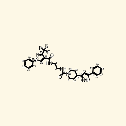 O=C(NCCNC(=O)N1CCC(c2cc(-c3ccccc3)on2)CC1)c1cn(-c2ccccc2)nc1C(F)(F)F